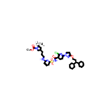 CC(C)(C)OC(=O)N1CC(CCCNc2cccc(S(=O)(=O)NC(=O)c3ccc(-n4ccc(OCCC(C5CCCCC5)C5CCCCC5)n4)nc3Cl)n2)CC1(C)C